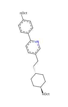 CCCCCCCCc1ccc(-c2ccc(CC[C@H]3CC[C@H](CCCCCCCC)CC3)cn2)cc1